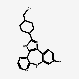 OCC1CCC(c2nc3c([nH]2)-c2cccnc2Nc2cc(F)ccc2-3)CC1